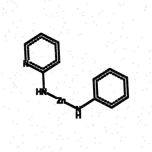 c1ccc([NH][Zn][NH]c2ccccn2)cc1